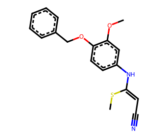 COc1cc(N/C(=C/C#N)SC)ccc1OCc1ccccc1